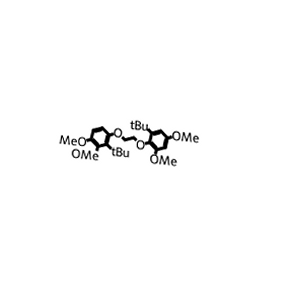 COc1cc(OC)c(OCCOc2ccc(OC)c(OC)c2C(C)(C)C)c(C(C)(C)C)c1